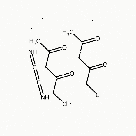 CC(=O)CC(=O)CCl.CC(=O)CC(=O)CCl.N=C=C=N